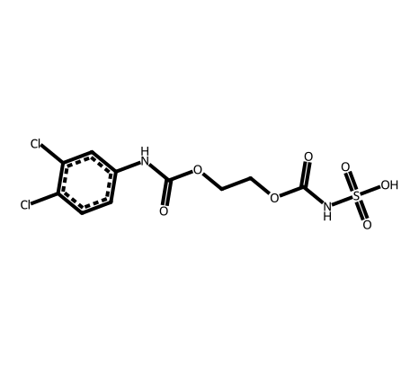 O=C(Nc1ccc(Cl)c(Cl)c1)OCCOC(=O)NS(=O)(=O)O